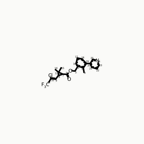 Cc1c(COC(=O)C2C(/C=C(\Cl)C(F)(F)F)C2(C)C)cccc1-c1cccnc1